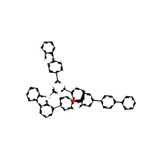 c1ccc(-c2ccc(-c3ccc4c(c3)oc3cc(-c5cccc6c7ccccc7n(-c7nc(-c8ccccc8)nc(-c8ccc9c(c8)oc8ccccc89)n7)c56)ccc34)cc2)cc1